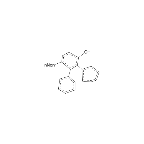 CCCCCCCCCc1ccc(O)c(-c2ccccc2)c1-c1ccccc1